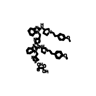 COc1ccc(CCN2CCC(Nc3nc4ccccc4n3Cc3cscn3)C2)cc1.COc1ccc(CCN2CCC(Nc3nc4ccccc4n3Cc3cscn3)C2)cc1.O=C(O)C(=O)O